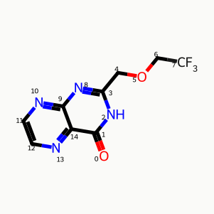 O=c1[nH]c(COCC(F)(F)F)nc2nccnc12